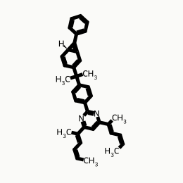 C/C=C\C=C(/C)c1cc(/C(C)=C/C=C\C)nc(-c2ccc(C(C)(C)C3=CC4=C(c5ccccc5)[C@@H]4C=C3)cc2)n1